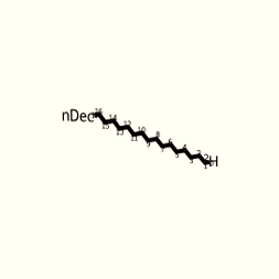 [2H]CCCCCCCCCCCCCCCCCCCCCCCCCC